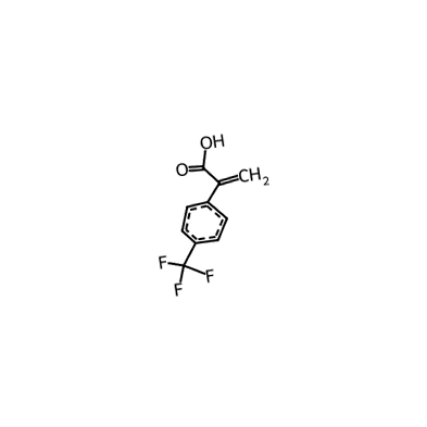 C=C(C(=O)O)c1ccc(C(F)(F)F)cc1